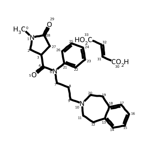 CN1CC(C(=O)N(CCCN2CCc3ccccc3CC2)c2ccccc2)CC1=O.O=C(O)C=CC(=O)O